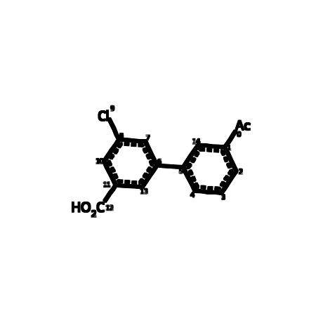 CC(=O)c1cccc(-c2cc(Cl)cc(C(=O)O)c2)c1